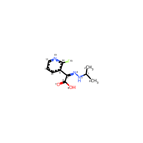 CC(C)NN=C(C(=O)O)c1cccnc1F